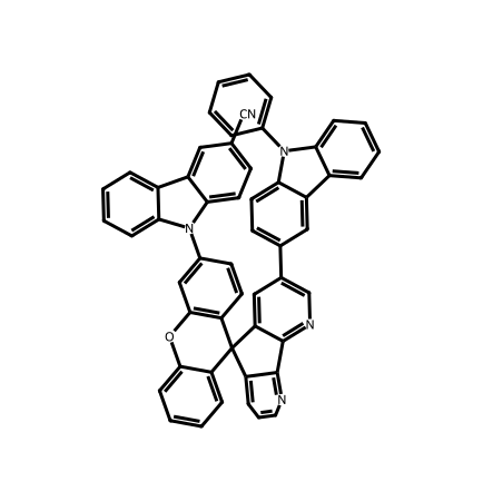 N#Cc1ccc2c(c1)c1ccccc1n2-c1ccc2c(c1)Oc1ccccc1C21c2cccnc2-c2ncc(-c3ccc4c(c3)c3ccccc3n4-c3ccccc3)cc21